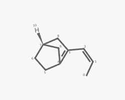 C/C=C\C1=C2CC[C@H](C1)C2